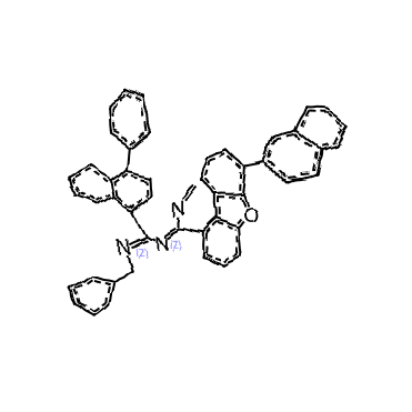 C=N/C(=N\C(=N/Cc1ccccc1)c1ccc(-c2ccccc2)c2ccccc12)c1cccc2oc3c(-c4ccc5ccccc5c4)cccc3c12